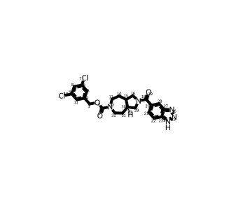 O=C(OCc1cc(Cl)cc(Cl)c1)N1CCC2CN(C(=O)c3ccc4[nH]nnc4c3)C[C@H]2CC1